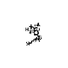 CC(C)OC(=O)C(N)(CC(C)(C)C)c1ccc(-c2ncnn2COCC[Si](C)(C)C)cc1F